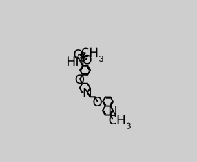 Cc1ccc2c(OCCN3CCC(Oc4cccc(NS(C)(=O)=O)c4)CC3)cccc2n1